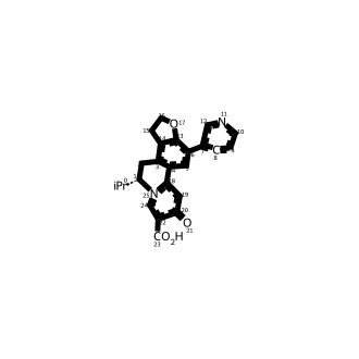 CC(C)[C@@H]1Cc2c(cc(-c3cccnc3)c3c2CCO3)-c2cc(=O)c(C(=O)O)cn21